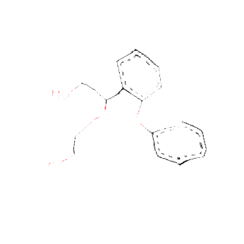 OCCOC(CO)c1ccccc1Oc1ccccc1